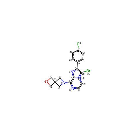 Fc1ccc(-c2nc3c(N4CC5(COC5)C4)nccn3c2Br)cc1